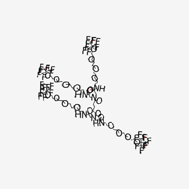 O=C(CN(CC(=O)NCCOCCOCCOCCOC(C(F)(F)F)(C(F)(F)F)C(F)(F)F)C(=O)CCCC(=O)N(CC(=O)NCCOCCOCCOCCOC(C(F)(F)F)(C(F)(F)F)C(F)(F)F)CC(=O)NCCOCCOCCOCCOC(C(F)(F)F)(C(F)(F)F)C(F)(F)F)NCCOCCOCCOCCOC(C(F)(F)F)(C(F)(F)F)C(F)(F)F